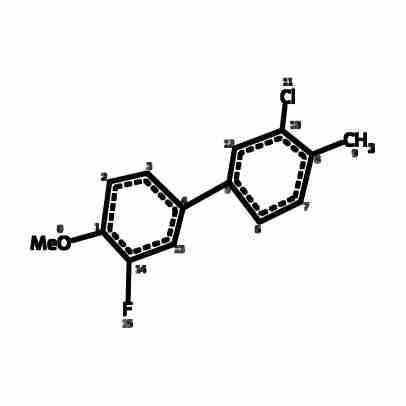 COc1ccc(-c2ccc(C)c(Cl)c2)cc1F